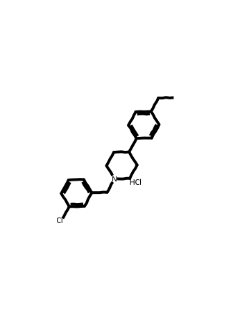 CCc1ccc(C2CCN(Cc3cccc(Cl)c3)CC2)cc1.Cl